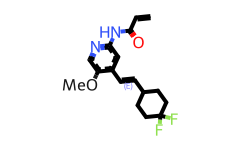 C=CC(=O)Nc1cc(/C=C/C2CCC(F)(F)CC2)c(OC)cn1